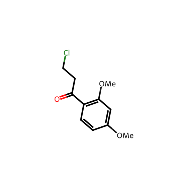 COc1ccc(C(=O)CCCl)c(OC)c1